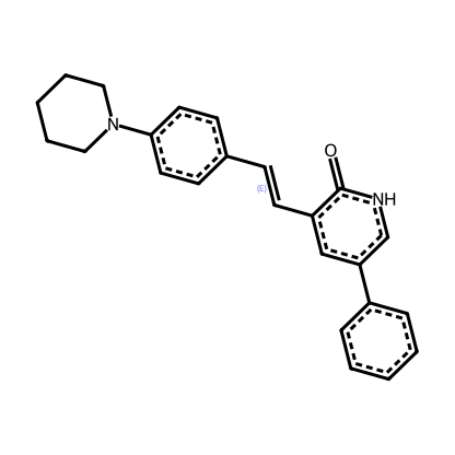 O=c1[nH]cc(-c2ccccc2)cc1/C=C/c1ccc(N2CCCCC2)cc1